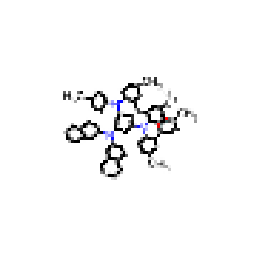 Cc1ccc(-c2cc(C)ccc2N2c3ccc(C)cc3B3c4cc(C)ccc4N(c4ccc(C)cc4)c4cc(N(c5ccc6ccccc6c5)c5ccc6ccccc6c5)cc2c43)cc1